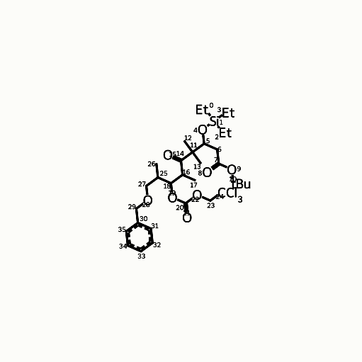 CC[Si](CC)(CC)OC(CC(=O)OC(C)(C)C)C(C)(C)C(=O)C(C)C(OC(=O)OCC(Cl)(Cl)Cl)C(C)COCc1ccccc1